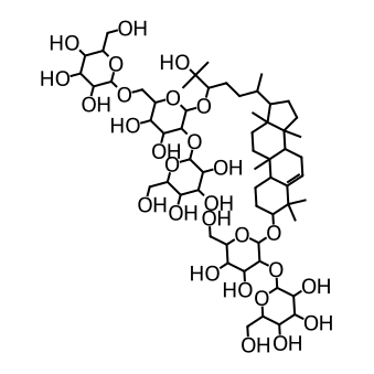 CC(CCC(OC1OC(COC2OC(CO)C(O)C(O)C2O)C(O)C(O)C1OC1OC(CO)C(O)C(O)C1O)C(C)(C)O)C1CCC2(C)C3CC=C4C(CCC(OC5OC(CO)C(O)C(O)C5OC5OC(CO)C(O)C(O)C5O)C4(C)C)C3(C)CCC12C